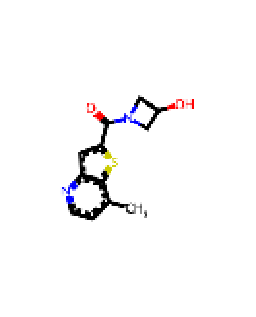 Cc1ccnc2cc(C(=O)N3CC(O)C3)sc12